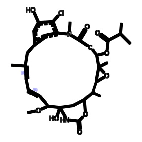 COC1/C=C/C=C(/C)Cc2cc(O)c(Cl)c(c2)N(C)C(=O)CC(OC(=O)C(C)C)C2(C)OC2C(C)C2CC1(O)NC(=O)O2